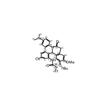 CCNC(=O)Nc1cc(Cl)ccc1C1c2cc(O[C@H](C)CC)c(OC)cc2CC(=O)N1c1ccc(N(C)C)cc1